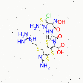 N=C(N)NCCSCc1nc(N)sc1SC1=C(C(=O)O)N2C(=O)[C@@H](NC(=O)/C(=N\O)c3nc(N)sc3Cl)[C@@H]2SC1